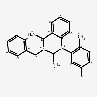 Cc1ccc(F)cc1N1c2ccccc2C(N)N(Cc2ccccc2)C1N